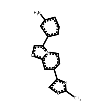 Cc1nc(-c2ccn3c(-c4cccc(N)c4)cnc3c2)cs1